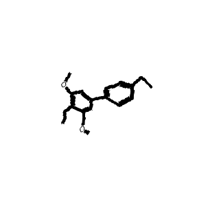 CCc1ccc(-c2cc(OC)c(CC)c(OC)c2)cc1